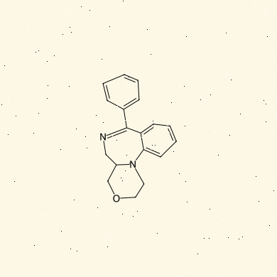 c1ccc(C2=NCC3COCCN3c3ccccc32)cc1